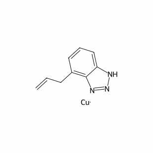 C=CCc1cccc2[nH]nnc12.[Cu]